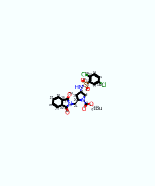 CC(C)(C)OC(=O)N1C[C@H](NS(=O)(=O)c2cc(Cl)ccc2Cl)C[C@@H]1CN1C(=O)C2C=CC=CC2C1=O